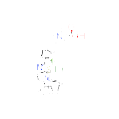 Cl.O=C(O)C1CN(CCCc2ccc(-c3nc4ccc(C5(c6ccccc6)CC5)nc4s3)c(F)c2)C1